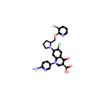 Nc1ccc(-n2cc(C(=O)O)c(=O)c3cc(Cl)c(N4CCCC4COc4ncccc4Cl)cc32)cn1